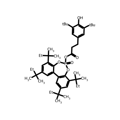 CCC(C)(C)c1cc2c(c(C(C)(C)CC)c1)OP(=O)(OC(=O)CCc1cc(C(C)(C)C)c(O)c(C(C)(C)C)c1)Oc1c-2cc(C(C)(C)CC)cc1C(C)(C)CC